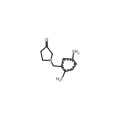 Cc1ccc(C)c(CN2CCC(=O)C2)c1